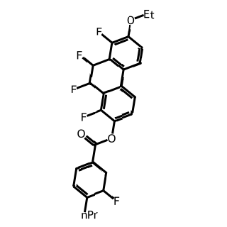 CCCC1=CC=C(C(=O)Oc2ccc3c(c2F)C(F)C(F)c2c-3ccc(OCC)c2F)CC1F